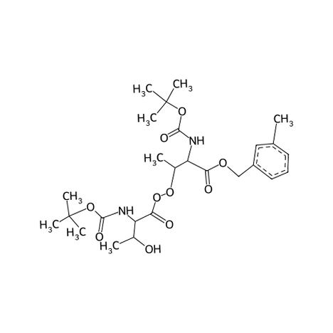 Cc1cccc(COC(=O)C(NC(=O)OC(C)(C)C)C(C)OOC(=O)C(NC(=O)OC(C)(C)C)C(C)O)c1